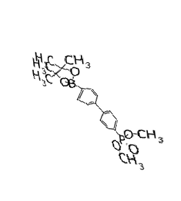 COP(=O)(OC)c1ccc(-c2ccc(B3OC(C)(C)C(C)(C)O3)cc2)cc1